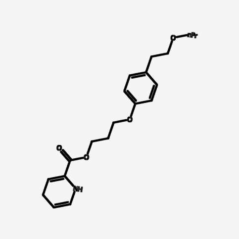 CCCOCCc1ccc(OCCCOC(=O)C2=CCC=CN2)cc1